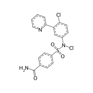 NC(=O)c1ccc(S(=O)(=O)N(Cl)c2ccc(Cl)c(-c3ccccn3)c2)cc1